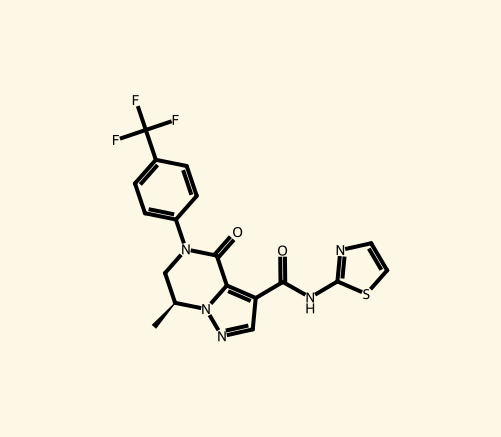 C[C@H]1CN(c2ccc(C(F)(F)F)cc2)C(=O)c2c(C(=O)Nc3nccs3)cnn21